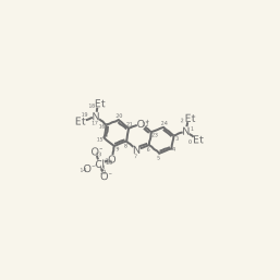 CCN(CC)c1ccc2nc3c(O[Cl+3]([O-])([O-])[O-])cc(N(CC)CC)cc3[o+]c2c1